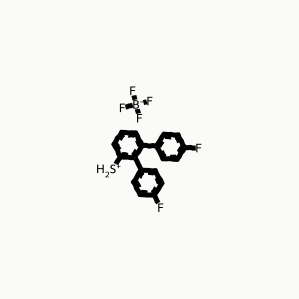 F[B-](F)(F)F.Fc1ccc(-c2cccc([SH2+])c2-c2ccc(F)cc2)cc1